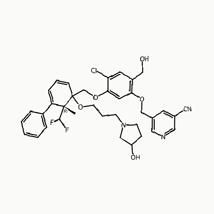 C[C@@]1(C(F)F)C(c2ccccc2)=CC=CC1(COc1cc(OCc2cncc(C#N)c2)c(CO)cc1Cl)OCCCN1CCC(O)C1